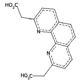 O=C(O)Cc1ccc2ccc3ccc(CC(=O)O)nc3c2n1